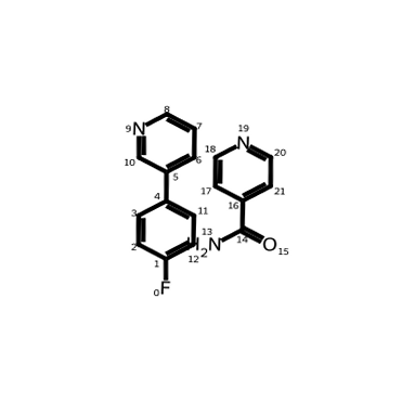 Fc1ccc(-c2cccnc2)cc1.NC(=O)c1ccncc1